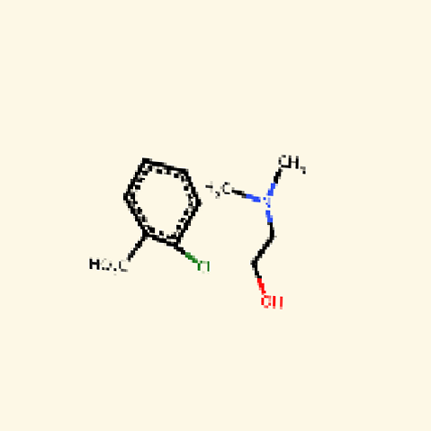 CN(C)CCO.O=C(O)c1ccccc1Cl